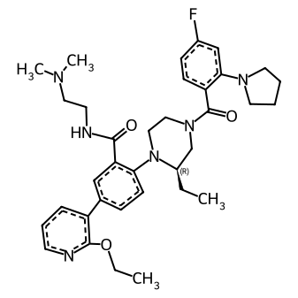 CCOc1ncccc1-c1ccc(N2CCN(C(=O)c3ccc(F)cc3N3CCCC3)C[C@H]2CC)c(C(=O)NCCN(C)C)c1